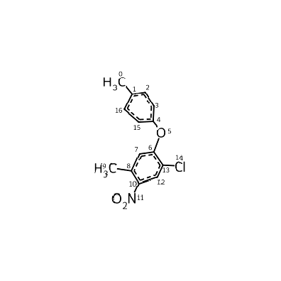 Cc1ccc(Oc2cc(C)c([N+](=O)[O-])cc2Cl)cc1